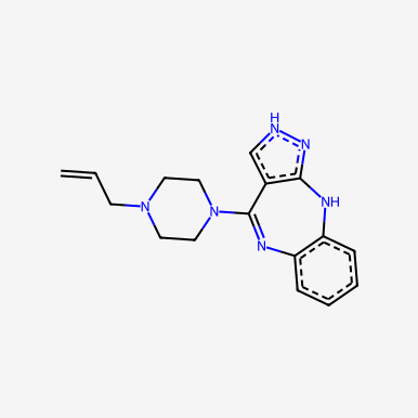 C=CCN1CCN(C2=Nc3ccccc3Nc3n[nH]cc32)CC1